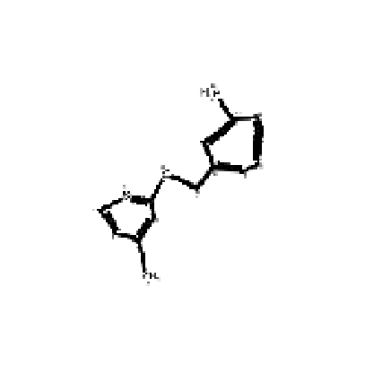 Cc1ccnc(OCc2cccc(P)c2)c1